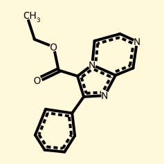 CCOC(=O)c1c(-c2ccccc2)nc2cnccn12